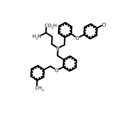 Cc1cccc(COc2ccccc2CN(CCC(N)C(=O)O)Cc2ccccc2Oc2ccc(Cl)cc2)c1